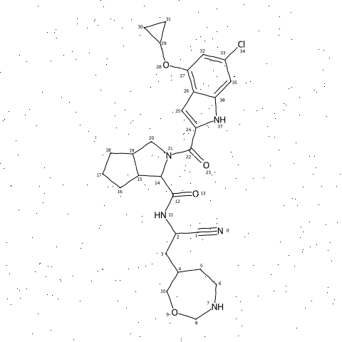 N#CC(CC1CCNCOC1)NC(=O)C1C2CCCC2CN1C(=O)c1cc2c(OC3CC3)cc(Cl)cc2[nH]1